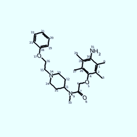 Cc1c(C)c(OCC(=O)N(C)C2CCN(CCOc3ccccc3)CC2)c(C)c(C)c1N